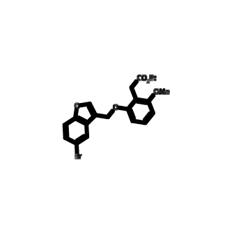 CCOC(=O)Cc1c(OC)cccc1OCc1coc2ccc(Br)cc12